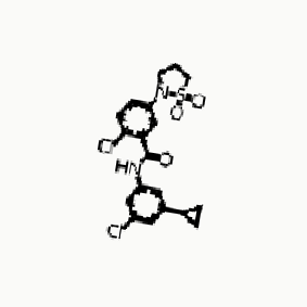 O=C(Nc1cc(Cl)cc(C2CC2)c1)c1cc(N2CCCS2(=O)=O)ccc1Cl